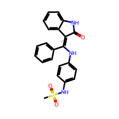 CS(=O)(=O)Nc1ccc(N/C(=C2\C(=O)Nc3ccccc32)c2ccccc2)cc1